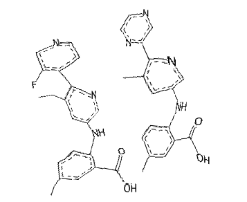 Cc1ccc(Nc2cnc(-c3ccncc3F)c(C)c2)c(C(=O)O)c1.Cc1ccc(Nc2cnc(-c3cnccn3)c(C)c2)c(C(=O)O)c1